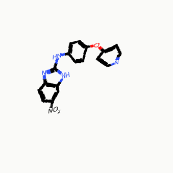 O=[N+]([O-])c1ccc2nc(Nc3ccc(Oc4ccncc4)cc3)[nH]c2c1